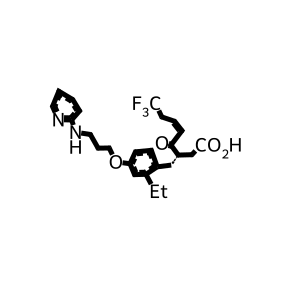 CCc1cc(OCCCNc2ccccn2)ccc1C[C@@H](CC(=O)O)C(=O)/C=C\CC(F)(F)F